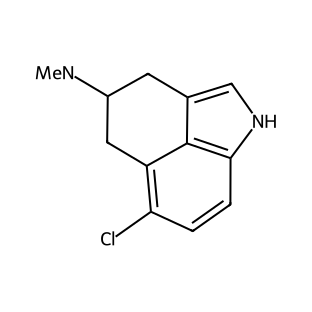 CNC1Cc2c[nH]c3ccc(Cl)c(c23)C1